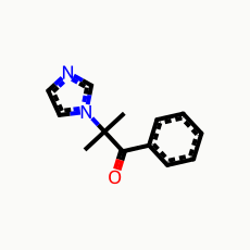 CC(C)(C(=O)c1ccccc1)n1ccnc1